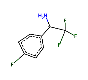 N[C](c1ccc(F)cc1)C(F)(F)F